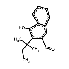 CCC(C)(C)c1c(N=O)cc2ccccc2c1O